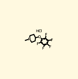 CN1CCC(Oc2c(F)c(F)c(F)c(F)c2F)CC1.Cl